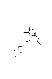 CCCc1nc(Cl)c(Cl)n1COCC[Si](C)(C)C